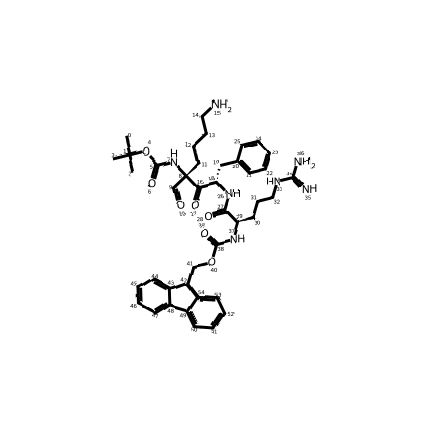 CC(C)(C)OC(=O)N[C@]([C]=O)(CCCCN)C(=O)[C@H](Cc1ccccc1)NC(=O)[C@@H](CCCNC(=N)N)NC(=O)OCC1c2ccccc2-c2ccccc21